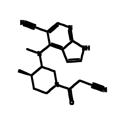 C[C@@H]1CCN(C(=O)CC#N)CC1N(C)c1c(C#N)cnc2[nH]ccc12